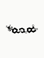 O=c1[nH]ccc2cc(OC3CCCN(Cc4ccc(S(=O)(=O)C(F)(F)F)cc4)C3)ccc12